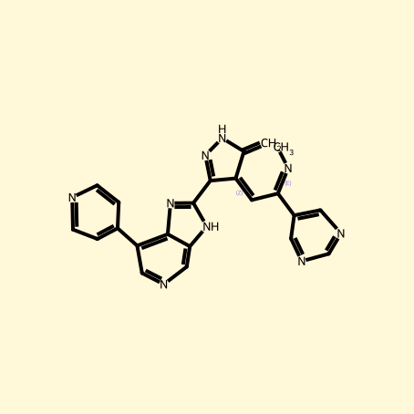 C=c1[nH]nc(-c2nc3c(-c4ccncc4)cncc3[nH]2)/c1=C/C(=N\C)c1cncnc1